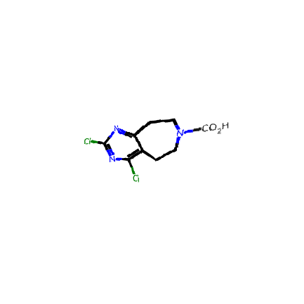 O=C(O)N1CCc2nc(Cl)nc(Cl)c2CC1